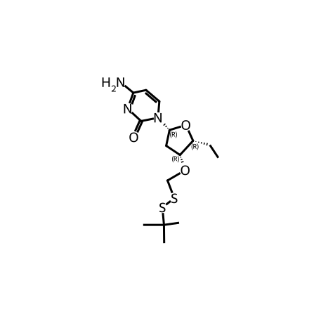 CC[C@H]1O[C@@H](n2ccc(N)nc2=O)C[C@H]1OCSSC(C)(C)C